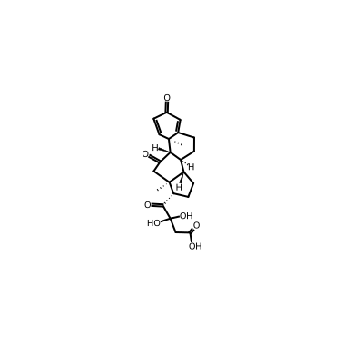 C[C@]12CC(=O)[C@H]3[C@@H](CCC4=CC(=O)C=C[C@@]43C)[C@@H]1CC[C@@H]2C(=O)C(O)(O)CC(=O)O